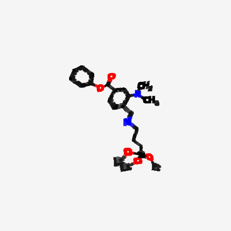 CCO[Si](CCCN=Cc1ccc(C(=O)Oc2ccccc2)cc1N(C)C)(OCC)OCC